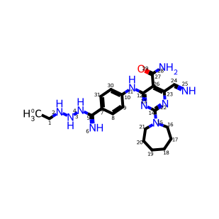 CCNNNC(=N)c1ccc(Nc2nc(N3CCCCCC3)nc(C=N)c2C(N)=O)cc1